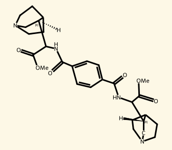 COC(=O)C(NC(=O)c1ccc(C(=O)NC(C(=O)OC)[C@H]2CN3CCC2CC3)cc1)[C@H]1CN2CCC1CC2